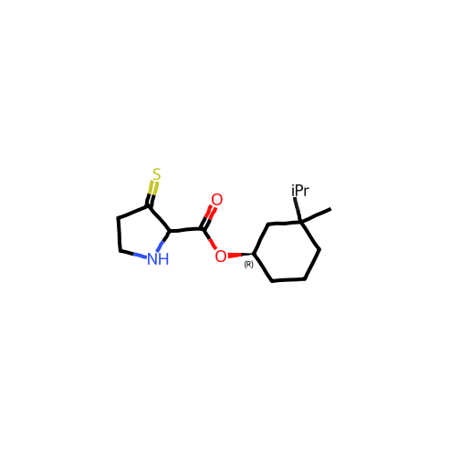 CC(C)C1(C)CCC[C@@H](OC(=O)C2NCCC2=S)C1